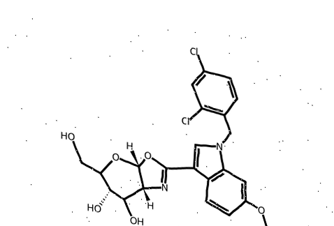 COc1ccc2c(C3=N[C@@H]4C(O)[C@H](O)C(CO)O[C@@H]4O3)cn(Cc3ccc(Cl)cc3Cl)c2c1